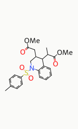 COC(=O)CC1CN(S(=O)(=O)c2ccc(C)cc2)c2ccccc2C1C(C)C(=O)OC